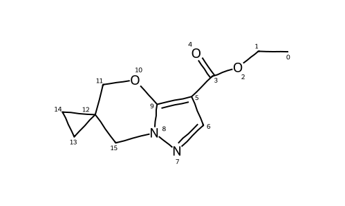 CCOC(=O)c1cnn2c1OCC1(CC1)C2